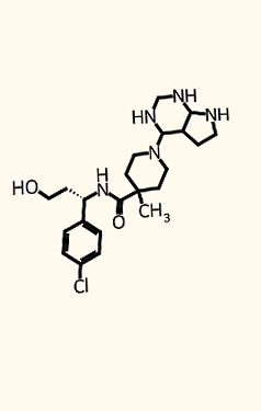 CC1(C(=O)N[C@@H](CCO)c2ccc(Cl)cc2)CCN(C2NCNC3NCCC32)CC1